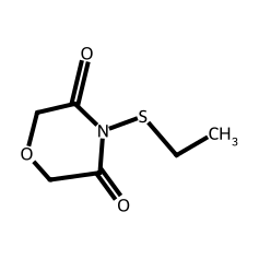 CCSN1C(=O)COCC1=O